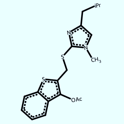 CC(=O)Oc1c(CSc2nc(CC(C)C)cn2C)sc2ccccc12